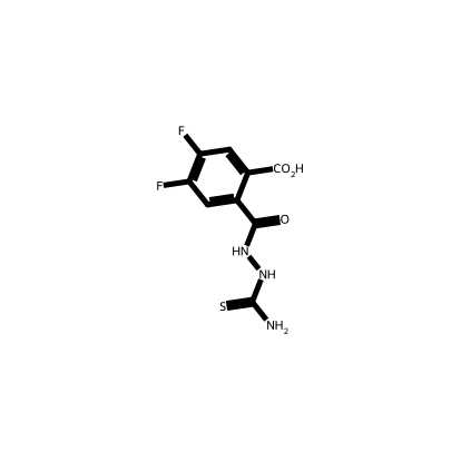 NC(=S)NNC(=O)c1cc(F)c(F)cc1C(=O)O